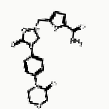 NC(=O)c1ccc(C[C@H]2CN(c3ccc(N4CCOCC4=O)cc3)C(=O)O2)s1